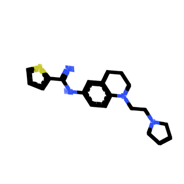 N=C(Nc1ccc2c(c1)CCCN2CCN1CCCC1)c1cccs1